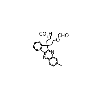 Cc1ccc2nc3c(nc2c1)C(CCOC=O)(CCC(=O)O)c1ccccc1-3